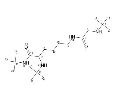 CC(C)(C)NCC(=O)NCCCCC(NC(C)(C)C)C(=O)NC(C)(C)C